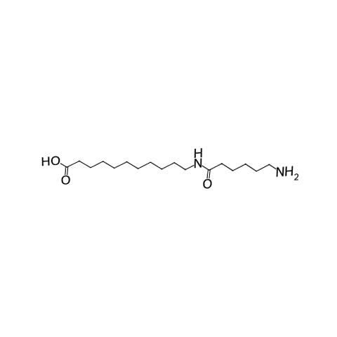 NCCCCCC(=O)NCCCCCCCCCCC(=O)O